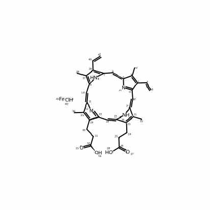 C=CC1=C(C)c2cc3[nH]c(cc4nc(cc5[nH]c(cc1n2)c(C)c5CCC(=O)O)C(CCC(=O)O)=C4C)c(C)c3C=C.Cl.[Fe]